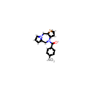 O=C(c1ccc([N+](=O)[O-])cc1)N1Cc2cccn2Cc2sccc21